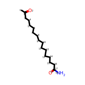 CC(=O)CCCCCCCCCCCCCCC(N)=O